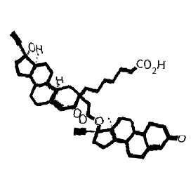 C#C[C@]1(O)CCC2C3CCC4=CC(=O)C(CCCCCCC(=O)O)(CC(=O)O[C@@]5(C#C)CCC6C7CCC8=CC(=O)CCC8C7CC[C@@]65C)C[C@@H]4C3CC[C@@]21C